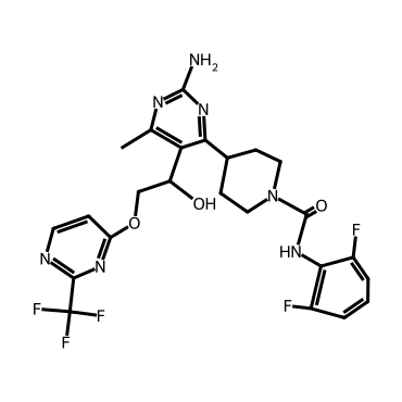 Cc1nc(N)nc(C2CCN(C(=O)Nc3c(F)cccc3F)CC2)c1C(O)COc1ccnc(C(F)(F)F)n1